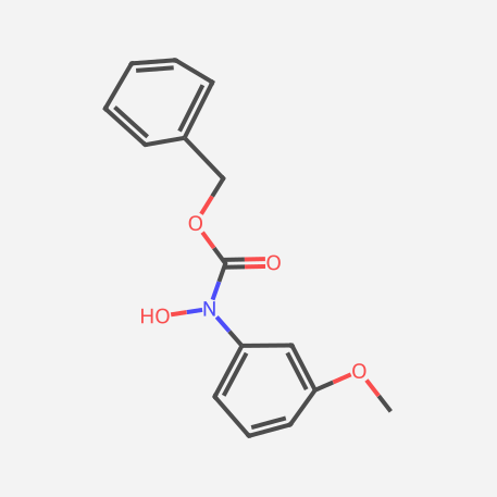 COc1cccc(N(O)C(=O)OCc2ccccc2)c1